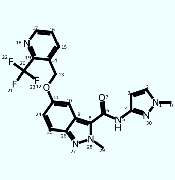 Cn1ccc(NC(=O)c2c3cc(OCc4cccnc4C(F)(F)F)ccc3nn2C)n1